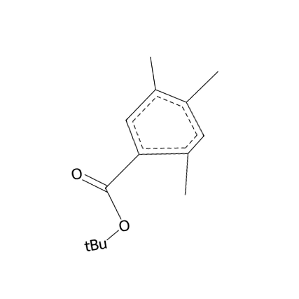 Cc1cc(C)c(C(=O)OC(C)(C)C)cc1C